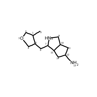 CC1COCC1CC1NCC2CC(N)CC21